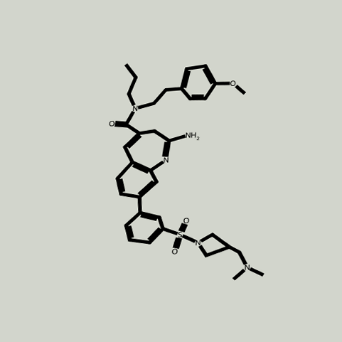 CCCN(CCc1ccc(OC)cc1)C(=O)C1=Cc2ccc(-c3cccc(S(=O)(=O)N4CC(CN(C)C)C4)c3)cc2N=C(N)C1